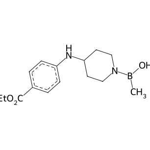 CCOC(=O)c1ccc(NC2CCN(B(C)O)CC2)cc1